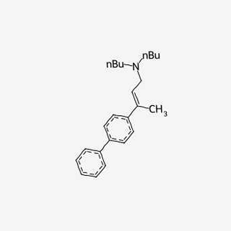 CCCCN(CC=C(C)c1ccc(-c2ccccc2)cc1)CCCC